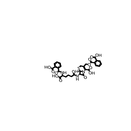 O=C(CCCC(NC(=O)c1ccccc1C(=O)O)C(=O)O)N[C@@H]1C(=O)N2C(C(=O)O)=C(COC(=O)c3ccccc3C(=O)O)CS[C@@H]12